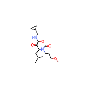 COCCCN(C=O)C(CC(C)C)C(=O)C(=O)NCC1CC1